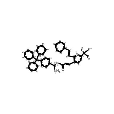 NC(NC(=O)C=Cc1ccc(C(F)(F)F)nc1C=Cc1ccccc1)c1ccc(C(c2ccccc2)(c2ccccc2)c2ccccc2)cc1